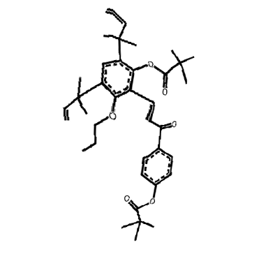 C=CC(C)(C)c1cc(C(C)(C)C=C)c(OC(=O)C(C)(C)C)c(/C=C/C(=O)c2ccc(OC(=O)C(C)(C)C)cc2)c1OCCC